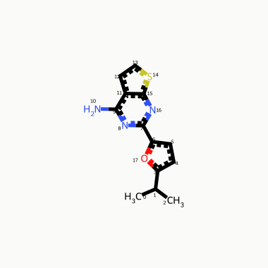 CC(C)c1ccc(-c2nc(N)c3ccsc3n2)o1